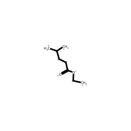 CCOC(=O)C[CH]C(C)C